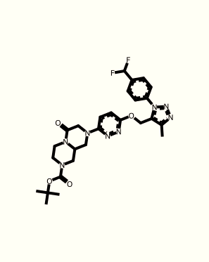 Cc1nnn(-c2ccc(C(F)F)cc2)c1COc1ccc(N2CC(=O)N3CCN(C(=O)OC(C)(C)C)CC3C2)nn1